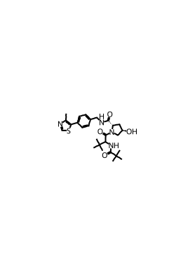 Cc1ncsc1-c1ccc(CNC(=O)[C@@H]2C[C@@H](O)CN2C(=O)C(NC(=O)C(C)(C)C)C(C)(C)C)cc1